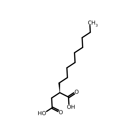 CCCCCCCCC[C@H](CC(=O)O)C(=O)O